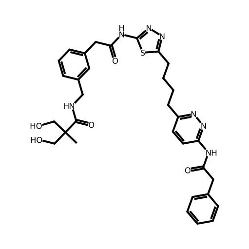 CC(CO)(CO)C(=O)NCc1cccc(CC(=O)Nc2nnc(CCCCc3ccc(NC(=O)Cc4ccccc4)nn3)s2)c1